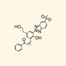 CS(=O)(=O)c1ccc2nn(-c3cc(CCO)cc(/C=C\C(=O)c4ccccc4)c3O)nc2c1